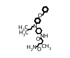 CC(C)CCN(c1ccc(OCc2ccccc2)cc1)C1CCC(NC(=O)CC(C)CC(N)=O)CC1